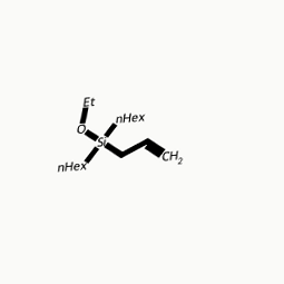 C=CC[Si](CCCCCC)(CCCCCC)OCC